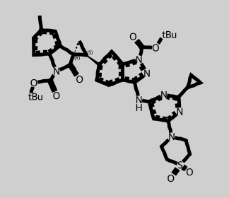 Cc1ccc2c(c1)[C@]1(C[C@H]1c1ccc3c(Nc4cc(N5CCS(=O)(=O)CC5)nc(C5CC5)n4)nn(C(=O)OC(C)(C)C)c3c1)C(=O)N2C(=O)OC(C)(C)C